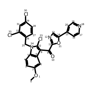 COc1ccc2c(c1)c(C(=O)c1ncc(-c3ccncc3)o1)c(Cl)n2Cc1ccc(Cl)cc1Cl